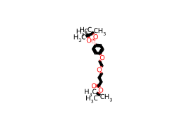 CC(C)(C)OC(=O)CCCOCCOc1ccc(B2OC(C)(C)C(C)(C)O2)cc1